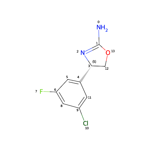 NC1=N[C@@H](c2cc(F)cc(Cl)c2)CO1